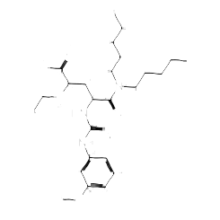 CCCCCN(CCCCC)C(=O)C(CC(OCC)C(=O)O)NC(=O)Nc1cccc(OC)c1